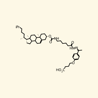 C/C(=N/NC(=O)CCCCCNC(=O)O[C@H]1CC[C@@]2(C)C(=CCC3C2CC[C@@]2(C)C3CC[C@@H]2[C@H](C)CCCC(C)C)C1)c1ccc(OCCCC(=O)O)cc1